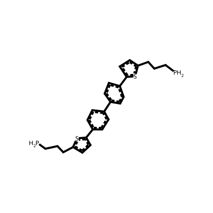 PCCCc1ccc(-c2ccc(-c3ccc(-c4ccc(CCCP)s4)cc3)cc2)s1